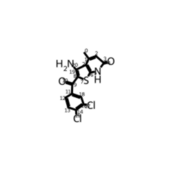 Cc1cc(=O)[nH]c2sc(C(=O)c3ccc(Cl)c(Cl)c3)c(N)c12